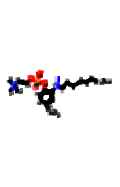 CCCCCCCCCCCCCCCCNc1cc([N+](=O)[O-])ccc1OP(=O)([O-])OCC[N+](C)(C)C